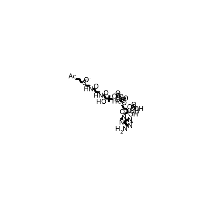 CC(=O)CCC[S+]([O-])CCNC(=O)CCNC(=O)C(O)C(C)(C)COP(=O)(O)OP(=O)(O)OCC1OC(n2cnc3c(N)ncnc32)C(O)C1OP(=O)(O)O